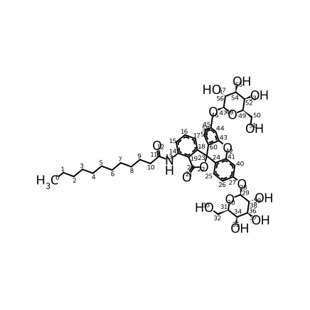 CCCCCCCCCCCC(=O)Nc1cccc2c1C(=O)OC21c2ccc(O[C@@H]3O[C@H](CO)[C@H](O)[C@H](O)[C@H]3O)cc2Oc2cc(O[C@@H]3O[C@H](CO)[C@H](O)[C@H](O)[C@H]3O)ccc21